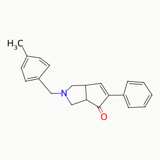 Cc1ccc(CN2CC3C=C(c4ccccc4)C(=O)C3C2)cc1